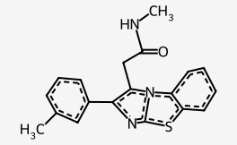 CNC(=O)Cc1c(-c2cccc(C)c2)nc2sc3ccccc3n12